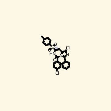 Cc1ccc(S(=O)(=O)/C(=C/c2c(Cl)nc(-c3ccccc3)n2Cc2ccc(Cl)cc2)NC=O)cc1